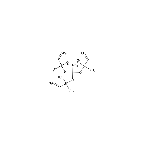 C=C[Si](C)(C)OC([SiH3])(O[Si](C)(C)C=C)O[Si](C)(C)C=C